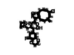 C=C1\C=C/C(C(=N\O)/C(=O)N[C@H](CN2CCC2)[C@H](O)c2cc(F)c3c(c2)OCCO3)=C\C/C=C\C(Cl)=C/1